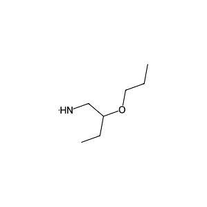 CCCOC(CC)C[NH]